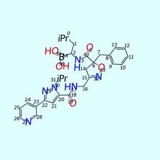 CC(C)CC(NC(=O)C1(Cc2ccccc2)CC(CNC(=O)c2cc(-c3cccnc3)nn2C(C)C)=NO1)B(O)O